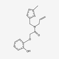 C=CCN(Cc1ccc(C)s1)C(=O)COc1ccccc1O